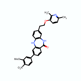 COc1cc(-c2ccc3c(c2)Nc2ccc(CCOc4ccc(C)nc4C)cc2NC3=O)ccc1[N+](=O)[O-]